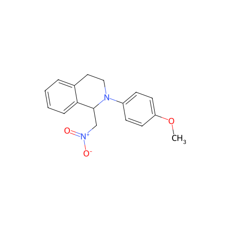 COc1ccc(N2CCc3ccccc3C2C[N+](=O)[O-])cc1